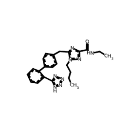 CCCCn1nc(C(=O)NCC)nc1Cc1ccc(-c2ccccc2-c2nnn[nH]2)cc1